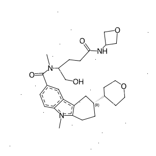 CN(C(=O)c1ccc2c(c1)c1c(n2C)CC[C@@H](C2CCOCC2)C1)C(CO)CCC(=O)NC1COC1